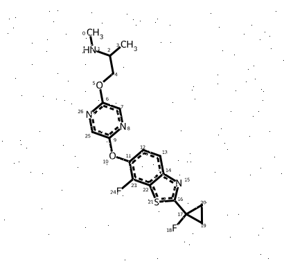 CNC(C)COc1cnc(Oc2ccc3nc(C4(F)CC4)sc3c2F)cn1